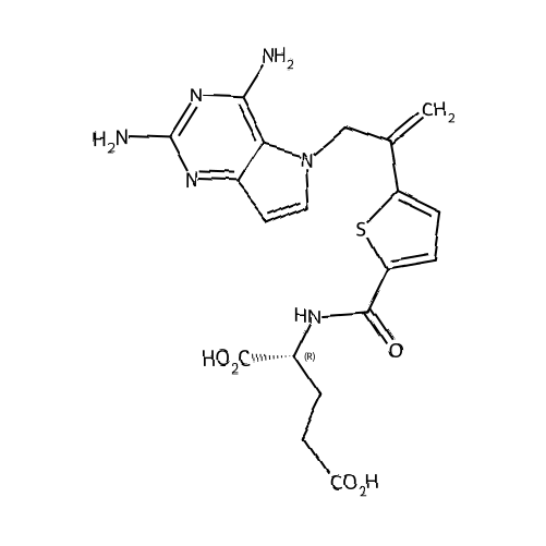 C=C(Cn1ccc2nc(N)nc(N)c21)c1ccc(C(=O)N[C@H](CCC(=O)O)C(=O)O)s1